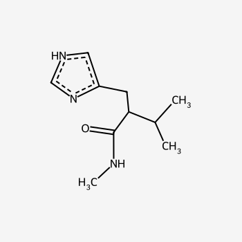 CNC(=O)C(Cc1c[nH]cn1)C(C)C